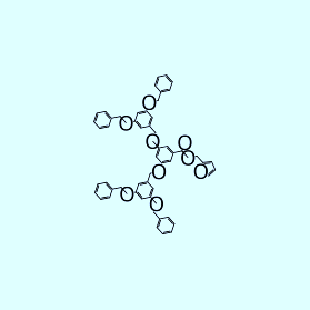 O=C(OCc1ccco1)c1cc(OCc2cc(OCc3ccccc3)cc(OCc3ccccc3)c2)cc(OCc2cc(OCc3ccccc3)cc(OCc3ccccc3)c2)c1